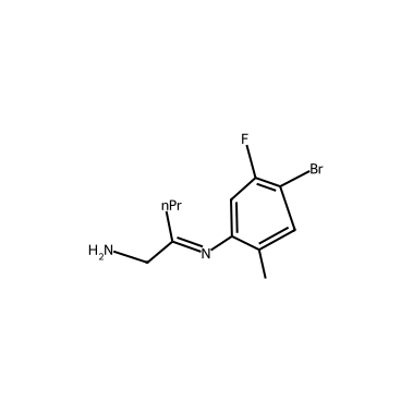 CCC/C(CN)=N\c1cc(F)c(Br)cc1C